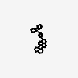 c1ccc2c(c1)c1ccccc1n2-c1ccc(-c2ccc3ccc4c5c6c(c7ccc2c3c47)CCCC6CCC5)cc1